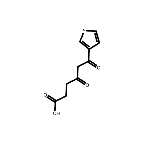 O=C(O)CCC(=O)CC(=O)c1ccsc1